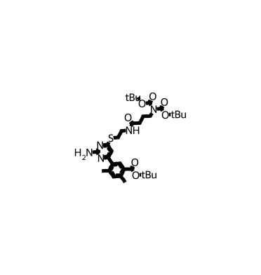 Cc1cc(C)c(-c2cc(SCCNC(=O)CCCN(C(=O)OC(C)(C)C)C(=O)OC(C)(C)C)nc(N)n2)cc1C(=O)OC(C)(C)C